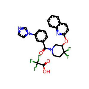 O=C(O)C(F)(F)F.O=C(c1cccc(-n2ccnc2)c1)N1CCC(F)(F)C(Oc2ccc3ccccc3n2)C1